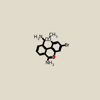 COc1cc(Br)cc(F)c1-c1c(C(N)=O)cccc1C(N)=O